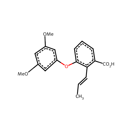 CC=Cc1c(Oc2cc(OC)cc(OC)c2)cccc1C(=O)O